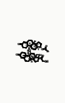 CCC(=O)O[C@H]1CC[C@H]2[C@@H]3CCC4=CC(=O)CC[C@]4(C)[C@H]3CC[C@]12C.C[C@]12CCC(=O)C=C1CC[C@@H]1[C@@H]2[C@@H](O)C[C@@]2(C)[C@H]1CC[C@]2(O)C(=O)CO